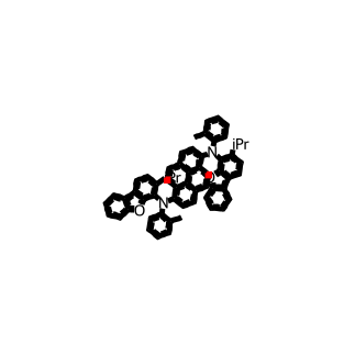 Cc1ccccc1N(c1ccc2ccc3c(N(c4ccccc4C)c4c(C(C)C)ccc5c4oc4ccccc45)ccc4ccc1c2c43)c1c(C(C)C)ccc2c1oc1ccccc12